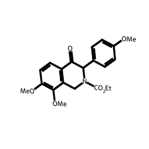 CCOC(=O)N1Cc2c(ccc(OC)c2OC)C(=O)C1c1ccc(OC)cc1